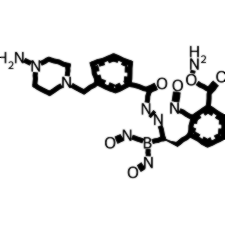 NOC(=O)c1cccc(C[C@H](N=NC(=O)c2cccc(CN3CCN(N)CC3)c2)B(N=O)N=O)c1N=O